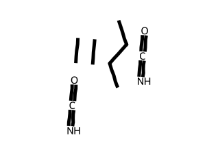 CC.CC.CCCC.N=C=O.N=C=O